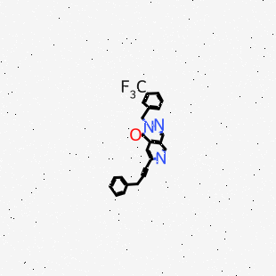 O=c1c2cc(C#CCc3ccccc3)ncc2cnn1Cc1cccc(C(F)(F)F)c1